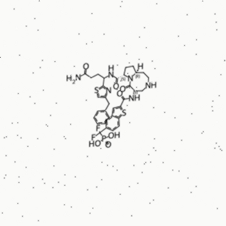 NC(=O)CCC(NC(=O)[C@@H]1CC[C@@H]2CCNC[C@H](NC(=O)c3cc4cc(C(F)(F)P(=O)(O)O)ccc4s3)C(=O)N21)c1nc(Cc2ccccc2)cs1